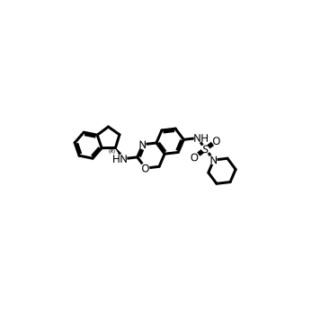 O=S(=O)(Nc1ccc2c(c1)COC(N[C@@H]1CCc3ccccc31)=N2)N1CCCCC1